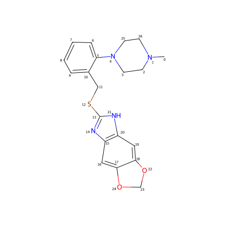 CN1CCN(c2ccccc2CSc2nc3cc4c(cc3[nH]2)OCO4)CC1